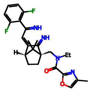 CCN(C[C@@]12CC[C@@H](/C(=C/C(=N)c3c(F)cccc3F)C1=N)C2(C)C)C(=O)c1nc(C)co1